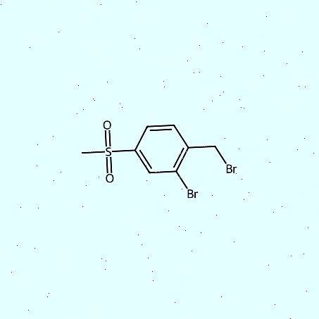 CS(=O)(=O)c1ccc(CBr)c(Br)c1